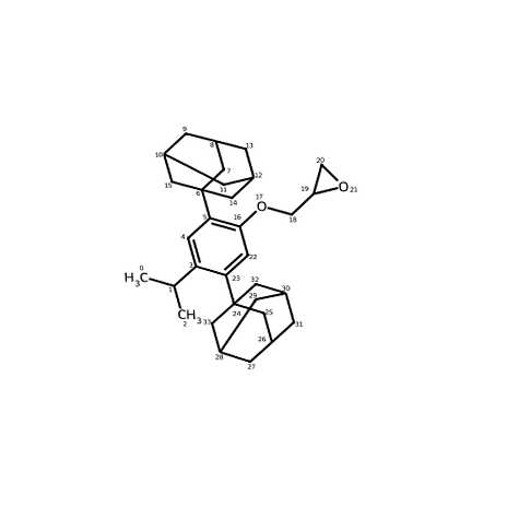 CC(C)c1cc(C23CC4CC(CC(C4)C2)C3)c(OCC2CO2)cc1C12CC3CC(CC(C3)C1)C2